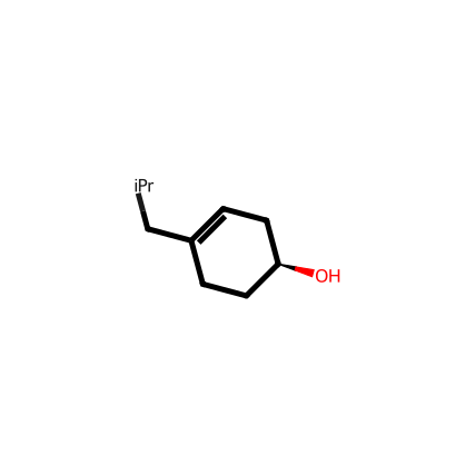 CC(C)CC1=CC[C@@H](O)CC1